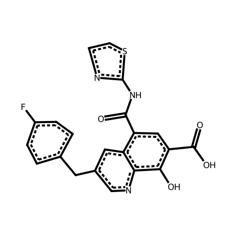 O=C(O)c1cc(C(=O)Nc2nccs2)c2cc(Cc3ccc(F)cc3)cnc2c1O